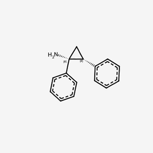 N[C@]1(c2ccccc2)C[C@@H]1c1ccccc1